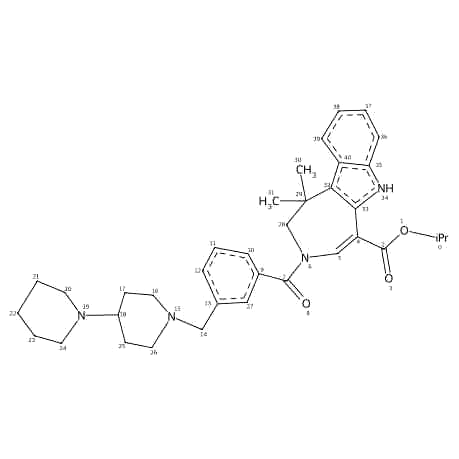 CC(C)OC(=O)C1=CN(C(=O)c2cccc(CN3CCC(N4CCCCC4)CC3)c2)CC(C)(C)c2c1[nH]c1ccccc21